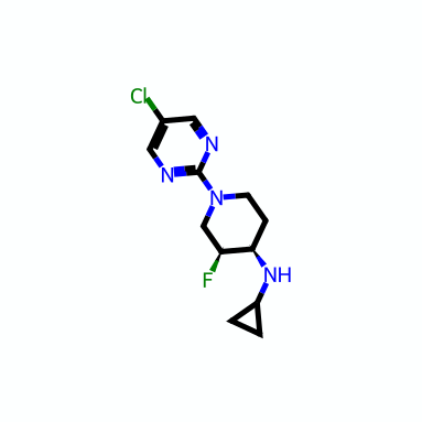 F[C@H]1CN(c2ncc(Cl)cn2)CC[C@H]1NC1CC1